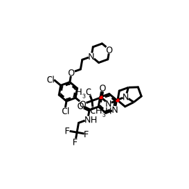 CC(C)(Oc1cc(OCCN2CCOCC2)c(Cl)cc1Cl)C(=O)NC1CC2CCC(C1)N2c1ccc(C(=O)NCC(F)(F)F)cn1